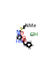 CNCCSc1nnc(C(=O)[C@H](CC(C)C)NC(=O)Cc2ccccc2)o1.Cl